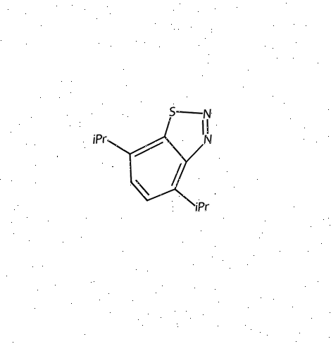 CC(C)c1ccc(C(C)C)c2snnc12